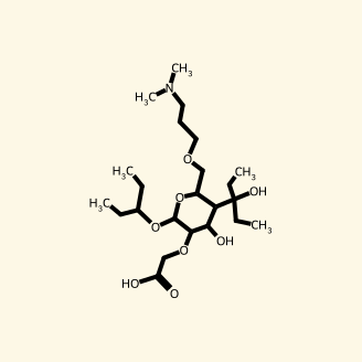 CCC(CC)OC1OC(COCCCN(C)C)C(C(O)(CC)CC)C(O)C1OCC(=O)O